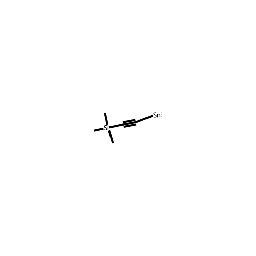 C[Si](C)(C)C#[C][Sn]